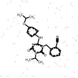 CC(C)Oc1ccc(Nc2nc(=O)n(C(C)C)c(=O)n2Cc2ccccc2C#N)cc1